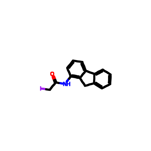 O=C(CI)Nc1cccc2c1Cc1ccccc1-2